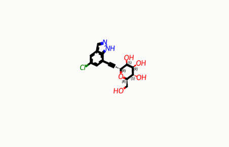 OC[C@H]1O[C@H](C#Cc2cc(Cl)cc3cn[nH]c23)[C@@H](O)[C@@H](O)[C@@H]1O